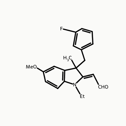 CCN1C(=CC=O)C(C)(Cc2cccc(F)c2)c2cc(OC)ccc21